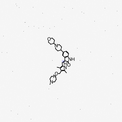 Cc1[nH]c(/C=C2\C(=O)Nc3ccc(C4CCN(C5CCOCC5)CC4)cc32)c(C)c1CON1CCN(C)CC1